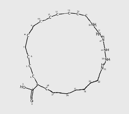 O=C(O)C1CCCCCCCCCCCCNNNNNNCCCCCCC1